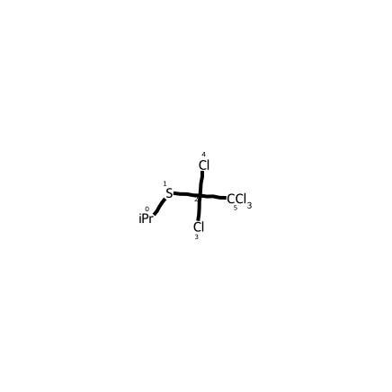 CC(C)SC(Cl)(Cl)C(Cl)(Cl)Cl